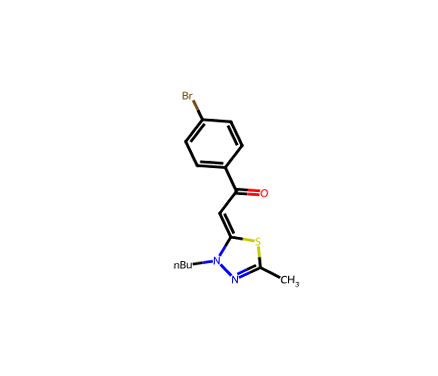 CCCCN1N=C(C)SC1=CC(=O)c1ccc(Br)cc1